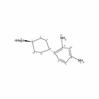 CCCCCCC[C@H]1CC[C@H](c2ccc(N)cc2N)CC1